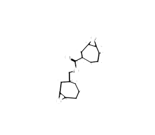 O=C(OCC1CCCC2OC2C1)C1CCCC2OC2C1